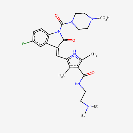 CCN(CC)CCNC(=O)c1c(C)[nH]c(C=C2C(=O)N(C(=O)N3CCN(C(=O)O)CC3)c3ccc(F)cc32)c1C